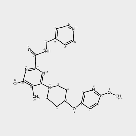 COc1ccc(OC2CCN(c3nc(C(=O)NCc4ccncc4)nc(Cl)c3C)CC2)cn1